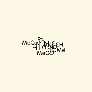 COC(=O)CNC(=O)C[C@H](CC(C)C)NC(=O)c1cc(-c2c(OC)cccc2OC)n(C2CCC(C)C2C)n1